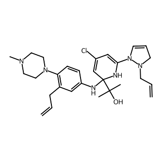 C=CCc1cc(NC2(C(C)(C)O)C=C(Cl)C=C(N3C=CCN3CC=C)N2)ccc1N1CCN(C)CC1